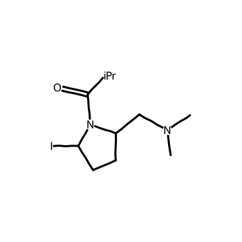 CC(C)C(=O)N1C(I)CCC1CN(C)C